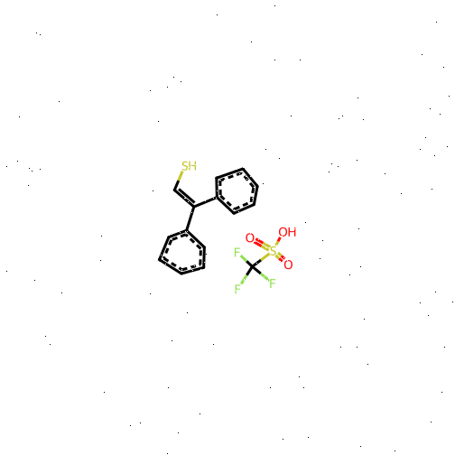 O=S(=O)(O)C(F)(F)F.SC=C(c1ccccc1)c1ccccc1